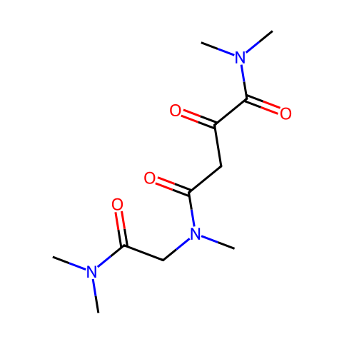 CN(C)C(=O)CN(C)C(=O)CC(=O)C(=O)N(C)C